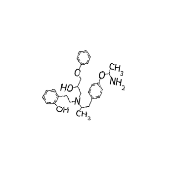 CC(N)Oc1ccc(CC(C)N(CCc2ccccc2O)CC(O)COc2ccccc2)cc1